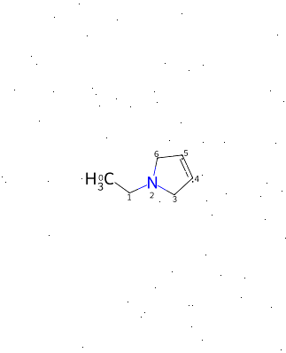 CCN1C[C]=[C]C1